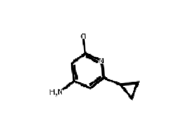 Nc1cc(Cl)nc(C2CC2)c1